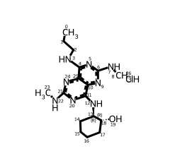 CCCNc1nc(NC)nc2c(N[C@@H]3CCCC[C@H]3O)nc(NC)nc12.Cl